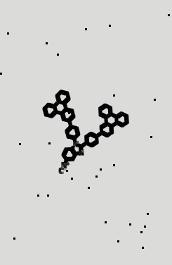 [C-]#[N+]c1ccc2c(c1)nc(-c1ccc(-c3ccc4c5ccccc5c5ccccc5c4c3)cc1)n2-c1ccc(-c2ccc3c4ccccc4c4ccccc4c3c2)cc1